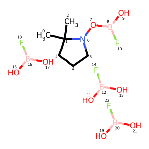 CC1(C)CCCN1OB(O)F.OB(O)F.OB(O)F.OB(O)F